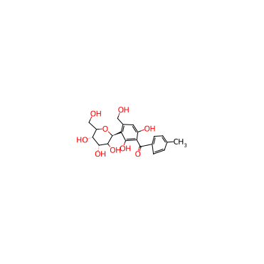 Cc1ccc(C(=O)c2c(O)cc(CO)c([C@@H]3OC(CO)[C@@H](O)[C@@H](O)C3O)c2O)cc1